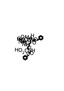 COCC(N)=O.COCC(N)=O.O=C(NC(CCCCC(NC(=O)OCc1ccccc1)C(=O)O)C(=O)O)OCc1ccccc1